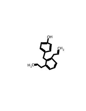 C=CCc1cccc(CC=C)c1Cc1ccc(O)cc1